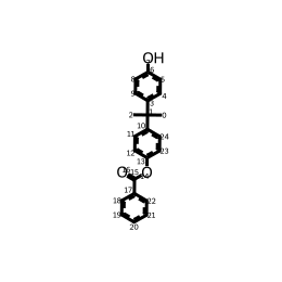 CC(C)(c1ccc(O)cc1)c1ccc(OC(=O)c2ccccc2)cc1